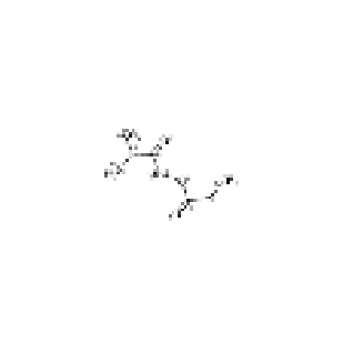 CCC(=O)ONC(=O)C(C)N